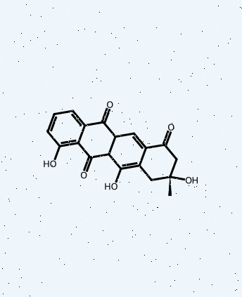 C[C@]1(O)CC(=O)C2=CC3C(=O)c4cccc(O)c4C(=O)C3C(O)=C2C1